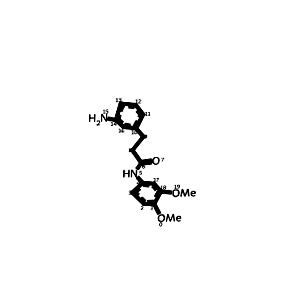 COc1ccc(NC(=O)CCc2cccc(N)c2)cc1OC